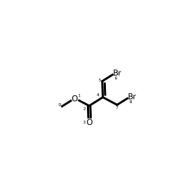 COC(=O)C(=CBr)CBr